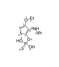 CCOc1csc(OP(O)(O)=S)c1NC(C)C